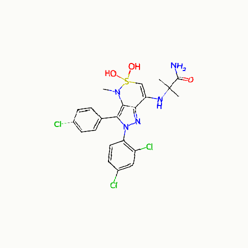 CN1c2c(nn(-c3ccc(Cl)cc3Cl)c2-c2ccc(Cl)cc2)C(NC(C)(C)C(N)=O)=CS1(O)O